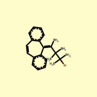 BC(=C1c2ccccc2C=Cc2ccccc21)C(B)(B)C(B)(B)Br